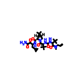 C=CCN(C)C(=O)[C@@H](NC(=O)N[C@H](C(=O)N1C[C@H]2[C@@H]([C@H]1C(=O)NC(CC1CC1)C(=O)C(N)=O)C2(C)C)C(C)(C)C)C(C)(C)C